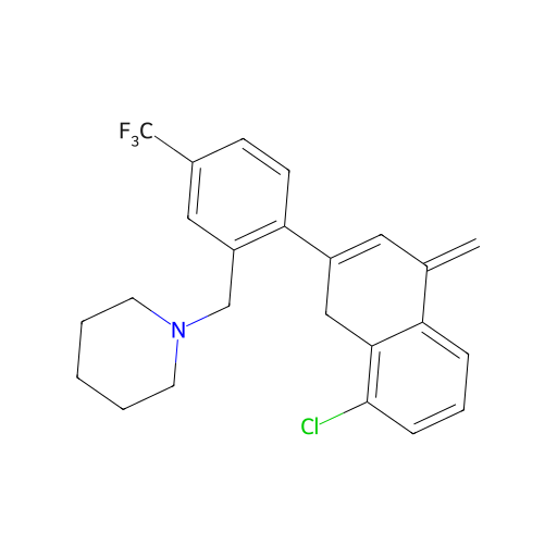 C=C1C=C(c2ccc(C(F)(F)F)cc2CN2CCCCC2)Cc2c(Cl)cccc21